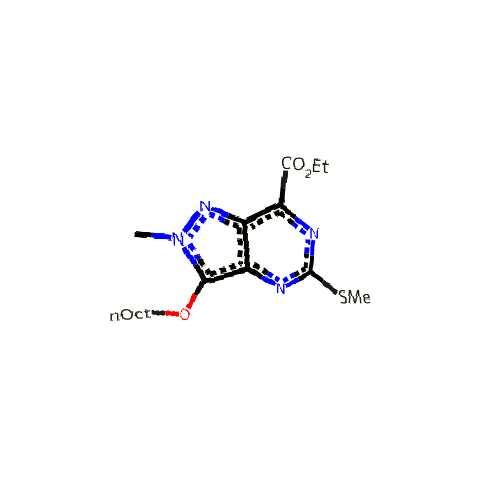 CCCCCCCCOc1c2nc(SC)nc(C(=O)OCC)c2nn1C